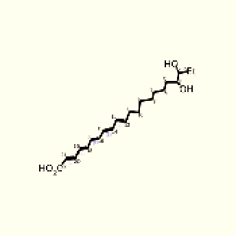 CCC(O)C(O)CCCCCCC/C=C/C=C/C=C/C=C/C=C/C(=O)O